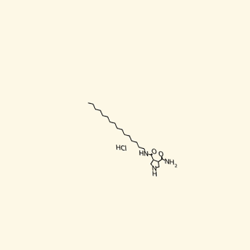 CCCCCCCCCCCCCCCCNC(=O)C1CNCC1C(N)=O.Cl